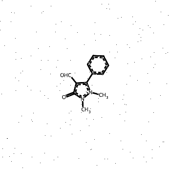 Cn1c(-c2ccccc2)c(C=O)c(=O)n1C